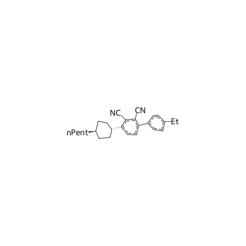 CCCCC[C@H]1CC[C@H](c2ccc(-c3ccc(CC)cc3)c(C#N)c2C#N)CC1